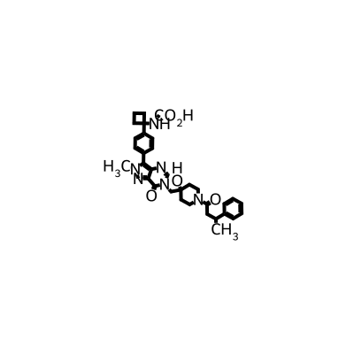 CC(CC(=O)N1CCC(O)(Cn2cnc3c(-c4ccc(C5(NC(=O)O)CCC5)cc4)n(C)nc3c2=O)CC1)c1ccccc1